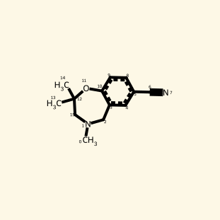 CN1Cc2cc(C#N)ccc2OC(C)(C)C1